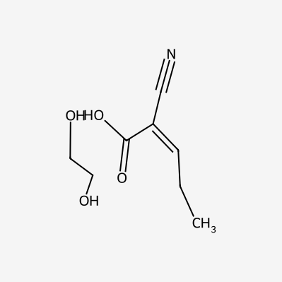 CCC=C(C#N)C(=O)O.OCCO